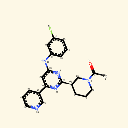 CCC(=O)N1CCC[C@@H](c2nc(Nc3cccc(F)c3)cc(-c3cccnc3)n2)C1